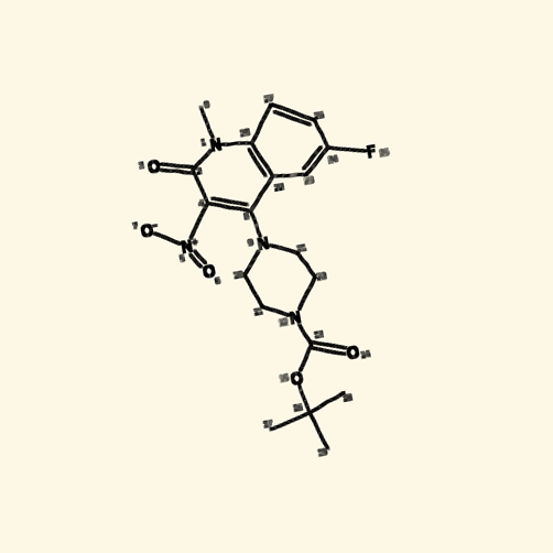 Cn1c(=O)c([N+](=O)[O-])c(N2CCN(C(=O)OC(C)(C)C)CC2)c2cc(F)ccc21